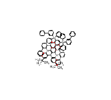 CC(C)(C)c1ccc2c(c1)B1c3ccc(C(C)(C)C)cc3N(c3c(-c4ccccc4)cccc3-c3ccccc3)c3cc(-c4cc([Si](c5ccccc5)(c5ccccc5)c5cccc(-c6ccccc6)c5)cc([Si](c5ccccc5)(c5ccccc5)c5cccc(-c6ccccc6)c5)c4)cc(c31)N2c1c(-c2ccccc2)cccc1-c1ccccc1